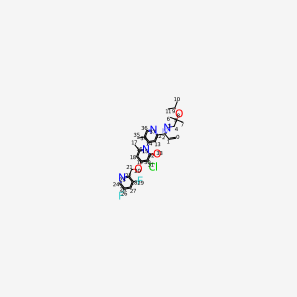 C=C/C(=N\CC(C)(C)OC(C)C)c1cc(-n2c(C)cc(OCc3ncc(F)cc3F)c(Cl)c2=O)c(C)cn1